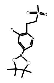 CC1(C)OB(c2cnc(CCS(C)(=O)=O)c(F)c2)OC1(C)C